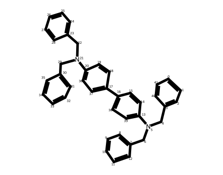 c1ccc(CN(Cc2ccccc2)c2ccc(-c3ccc(N(Cc4ccccc4)Cc4ccccc4)cc3)cc2)cc1